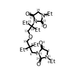 CCN1CC(=O)N(CC(CC)(CC)COCC(CC)(CC)N2C(=O)CN(CC)C2=O)C1=O